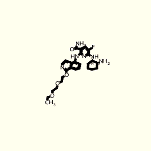 CCOCCOCCOc1nccc2c(Nc3nc(N[C@@H]4CCCC[C@@H]4N)c(F)cc3C(N)=O)cccc12